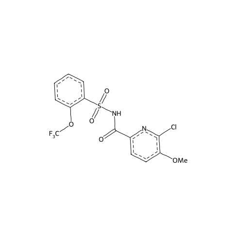 COc1ccc(C(=O)NS(=O)(=O)c2ccccc2OC(F)(F)F)nc1Cl